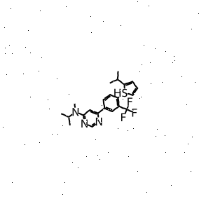 CC(C)C1=CC=C[SH]1c1ccc(-c2cc(N(C)C(C)C)ncn2)cc1C(F)(F)F